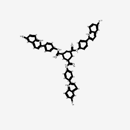 O=C(Oc1ccc(-c2ccc3cc(F)ccc3n2)cc1)C1CC(C(=O)Oc2ccc(-c3ccc4cc(F)ccc4n3)cc2)CC(C(=O)Oc2ccc(-c3ccc4cc(F)ccc4n3)cc2)C1